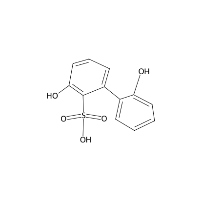 O=S(=O)(O)c1c(O)cccc1-c1ccccc1O